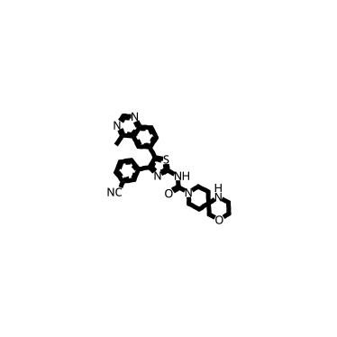 Cc1ncnc2ccc(-c3sc(NC(=O)N4CCC5(CC4)COCCN5)nc3-c3cccc(C#N)c3)cc12